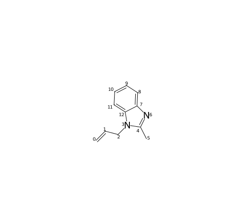 C=CCn1c(C)nc2ccccc21